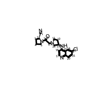 N#C[C@@H]1CCCN1C(=O)CN1CC[C@@H](Nc2ccnc3ccc(Cl)cc23)C1